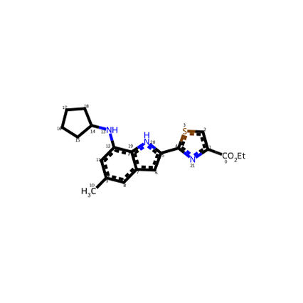 CCOC(=O)c1csc(-c2cc3cc(C)cc(NC4CCCC4)c3[nH]2)n1